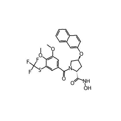 COc1cc(C(=O)N2C[C@@H](Oc3ccc4ccccc4c3)C[C@@H]2C(=O)NO)cc(SC(F)(F)F)c1OC